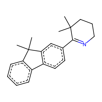 CC1(C)CCCN=C1c1ccc2c(c1)C(C)(C)c1ccccc1-2